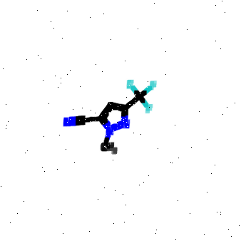 Cn1nc(C(F)(F)F)cc1C#N